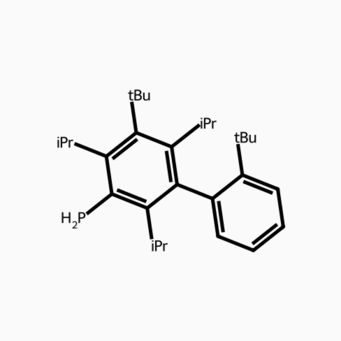 CC(C)c1c(P)c(C(C)C)c(C(C)(C)C)c(C(C)C)c1-c1ccccc1C(C)(C)C